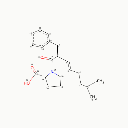 CC(C)CC/C=C/[C@H](Cc1ccccc1)C(=O)N1CCC[C@@H]1C(=O)O